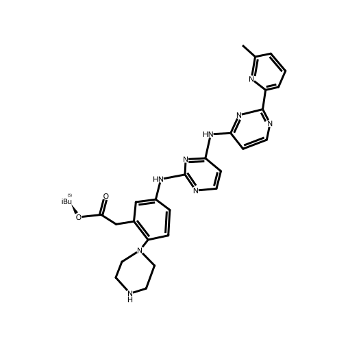 CC[C@H](C)OC(=O)Cc1cc(Nc2nccc(Nc3ccnc(-c4cccc(C)n4)n3)n2)ccc1N1CCNCC1